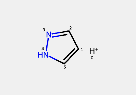 [H+].c1cn[nH]c1